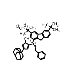 CC1C=C(C23CC4CC(CC(C4)C2)C3)C=[C]1[Zr+2](=[CH]Cc1ccccc1)[c]1cc(C(C)(C)C)cc2c1Cc1ccc(C(C)(C)C)cc1-2.[Cl-].[Cl-]